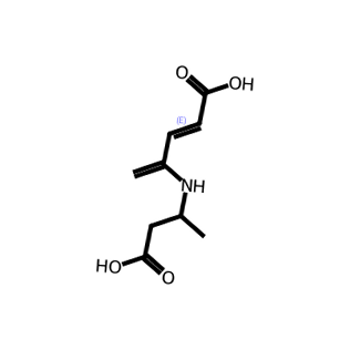 C=C(/C=C/C(=O)O)NC(C)CC(=O)O